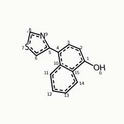 Oc1ccc(-c2cs[c]n2)c2ccccc12